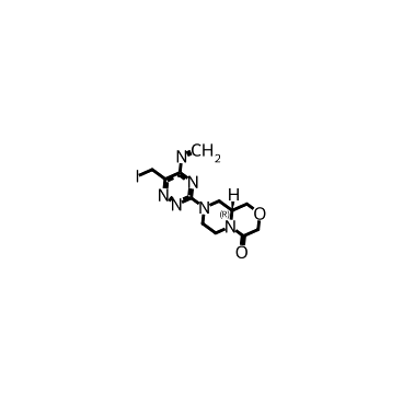 C=Nc1nc(N2CCN3C(=O)COC[C@H]3C2)nnc1CI